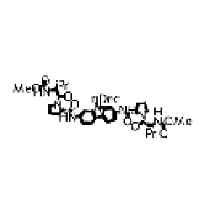 CCCCCCCCCCn1c2cc(NC(=O)[C@@H]3CCCN3C(=O)[C@H](NC(=O)OC)C(C)C)ccc2c2ccc(NC(=O)[C@@H]3CCCN3C(=O)[C@H](NC(=O)OC)C(C)C)cc21